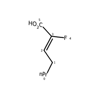 CCCC/C=C(\F)C(=O)O